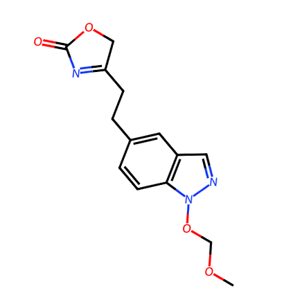 COCOn1ncc2cc(CCC3=NC(=O)OC3)ccc21